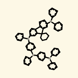 c1ccc(N(c2ccccc2)c2ccc(N(c3ccccc3)c3ccc(N(c4ccccc4)c4ccc5c(c4)C4(CCCCC4)c4cc(N(c6ccccc6)c6ccccc6)ccc4-5)cc3)cc2)cc1